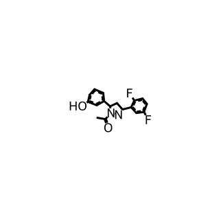 CC(=O)N1N=C(c2cc(F)ccc2F)CC1c1cccc(O)c1